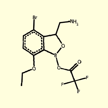 CCOc1ccc(Br)c2c1B(OC(=O)C(F)(F)F)OC2CN